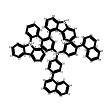 c1ccc(-n2c3ccccc3c3ccccc32)c(-c2ccc(N(c3ccc(-c4cccc5ccccc45)cc3)c3ccc(-c4cccc5ccccc45)cc3)cc2-c2cccc3sc4ccccc4c23)c1